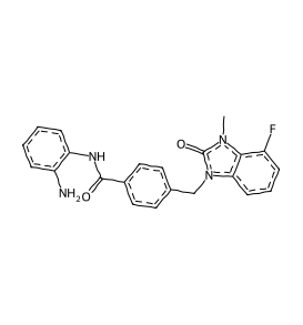 Cn1c(=O)n(Cc2ccc(C(=O)Nc3ccccc3N)cc2)c2cccc(F)c21